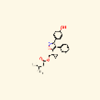 CC(C)CC(=O)OCC1(c2onc(-c3ccc(O)cc3)c2-c2ccccc2)CC1